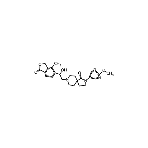 COc1ncc(N2CCC3(CCN(CC(O)c4ccc5c(c4C)COC5=O)CC3)C2=O)cn1